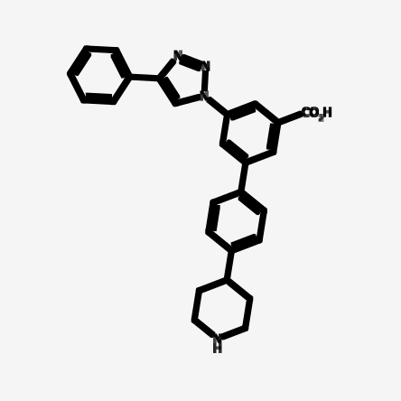 O=C(O)c1cc(-c2ccc(C3CCNCC3)cc2)cc(-n2cc(-c3ccccc3)nn2)c1